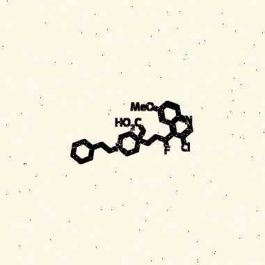 COc1ccc2ncc(Cl)c(C(F)CCC3(CC(=O)O)CCN(CCC4CCCCC4)CC3)c2c1